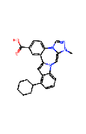 CN1N=CN2C1=Cn1c(cc3c(C4CCCCC4)cccc31)-c1cc(C(=O)O)ccc12